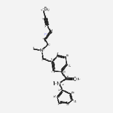 CN(C/C=C/C#CC(C)(C)C)Cc1cccc(C(=O)Nc2ccccc2)c1